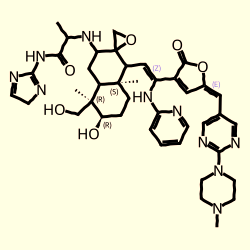 CC(NC1CC2[C@](C)(CC[C@@H](O)[C@@]2(C)CO)C(/C=C(\Nc2ccccn2)C2=C/C(=C\c3cnc(N4CCN(C)CC4)nc3)OC2=O)C12CO2)C(=O)NC1=NCC=N1